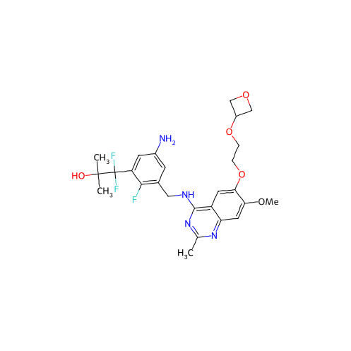 COc1cc2nc(C)nc(NCc3cc(N)cc(C(F)(F)C(C)(C)O)c3F)c2cc1OCCOC1COC1